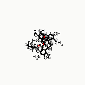 COc1cc2c(cc1O)CCN[C@]21CS[C@@H]2c3c(OC(=O)C(F)(F)C(F)(F)C(F)(F)F)c(C)c4c(c3[C@H](COC1=O)N1C2[C@H]2c3c(cc(C)c(OC)c3O)CC([C@@H]1O)N2C)OCO4